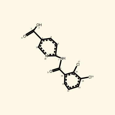 O=C(O)c1ccc(NC(=O)c2cccc(Cl)c2Cl)nc1